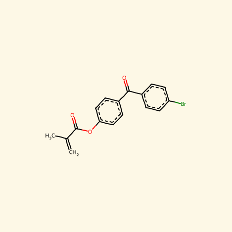 C=C(C)C(=O)Oc1ccc(C(=O)c2ccc(Br)cc2)cc1